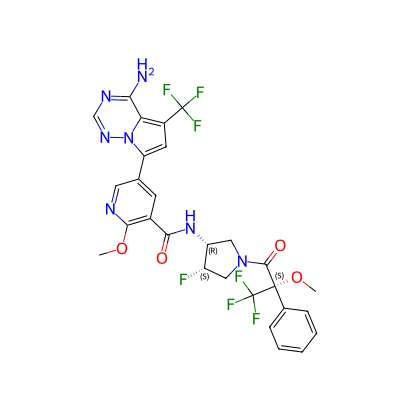 COc1ncc(-c2cc(C(F)(F)F)c3c(N)ncnn23)cc1C(=O)N[C@@H]1CN(C(=O)[C@@](OC)(c2ccccc2)C(F)(F)F)C[C@@H]1F